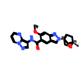 CC(C)Oc1cc2nn([C@]34CC[C@](C)(C3)OC4)cc2cc1C(=O)Nc1cnn2cccnc12